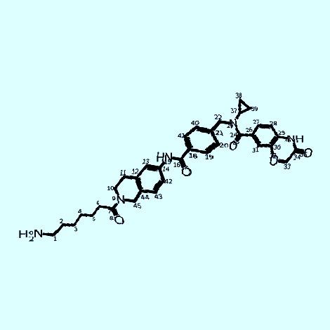 NCCCCCCC(=O)N1CCc2cc(NC(=O)c3ccc(CN(C(=O)c4ccc5c(c4)OCC(=O)N5)C4CC4)cc3)ccc2C1